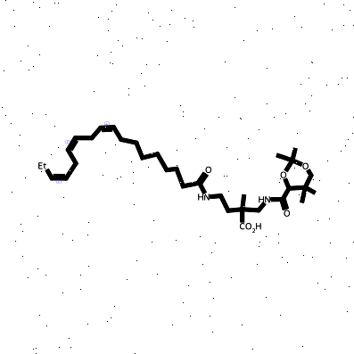 CC/C=C\C/C=C\C/C=C\CCCCCCCC(=O)NCCC(C)(CNC(=O)C1OC(C)(C)OCC1(C)C)C(=O)O